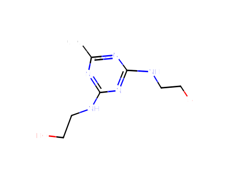 OCCNc1nc(NCCO)nc(C(Cl)(Cl)Cl)n1